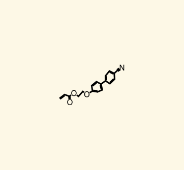 C=CC(=O)OCCOc1ccc(-c2ccc(C#N)cc2)cc1